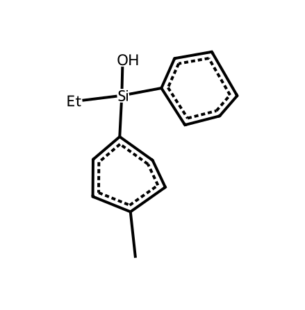 CC[Si](O)(c1ccccc1)c1ccc(C)cc1